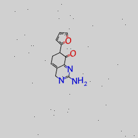 NC1=NCC2=CCC(c3ccco3)C(=O)C2=N1